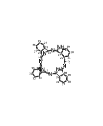 Cc1nc2nc(nc3[nH]c(nc4nc(nc(N)c5ccccc15)-c1ccccc1-4)c1ccccc31)-c1ccccc1-2